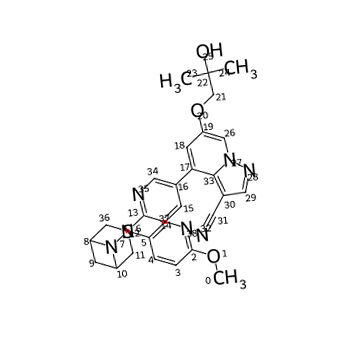 COc1ccc(SN2C3CC2CN(c2ccc(-c4cc(OCC(C)(C)O)cn5ncc(C#N)c45)cn2)C3)cn1